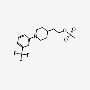 CS(=O)(=O)OCCC1CCN(c2cccc(C(F)(F)F)c2)CC1